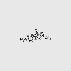 CCNc1ccc(S(=O)(=O)c2ccc(N)cc2)c(C#N)c1